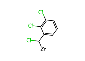 Clc1cccc([CH](Cl)[Zr])c1Cl